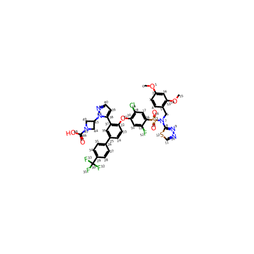 COc1ccc(CN(c2nncs2)S(=O)(=O)c2cc(Cl)c(Oc3ccc(-c4ccc(C(F)(F)F)cc4)cc3-c3ccnn3C3CN(C(=O)O)C3)cc2F)c(OC)c1